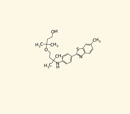 Cc1ccc2nc(-c3ccc(NC(C)(C)CCOC(C)(C)CCO)cc3)sc2c1